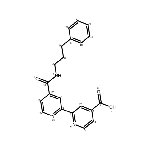 O=C(O)c1ccnc(-c2cc(C(=O)NCCCc3ccccc3)ccn2)c1